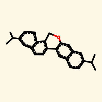 CC(C)c1ccc2cc3c(cc2c1)OCc1c-3ccc2cc(C(C)C)ccc12